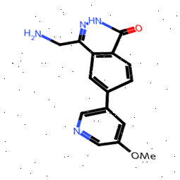 COc1cncc(-c2ccc3c(=O)[nH]nc(CN)c3c2)c1